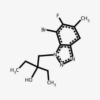 CCC(O)(CC)Cn1nnc2cc(C)c(F)c(Br)c21